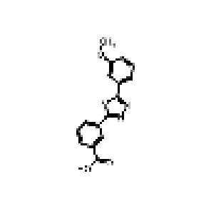 COc1cccc(-c2nnc(-c3cccc(C(=O)O)c3)o2)c1